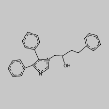 OC(CCc1ccccc1)Cn1cnc(-c2ccccc2)c1-c1ccccc1